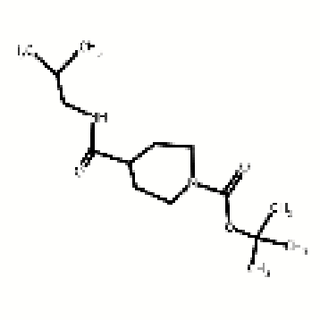 CC(C)CNC(=O)C1CCN(C(=O)OC(C)(C)C)CC1